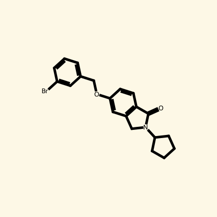 O=C1c2ccc(OCc3cccc(Br)c3)cc2CN1C1CCCC1